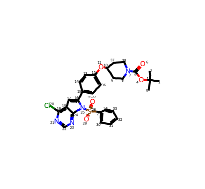 CC(C)(C)OC(=O)N1CCC(Oc2ccc(-c3cc4c(Cl)ncnc4n3S(=O)(=O)c3ccccc3)cc2)CC1